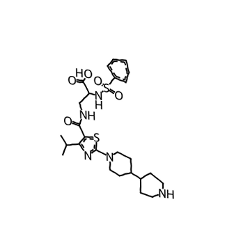 CC(C)c1nc(N2CCC(C3CCNCC3)CC2)sc1C(=O)NCC(NS(=O)(=O)c1ccccc1)C(=O)O